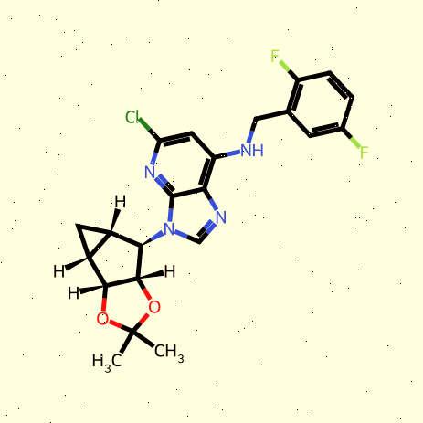 CC1(C)O[C@@H]2[C@@H]3C[C@@H]3[C@@H](n3cnc4c(NCc5cc(F)ccc5F)cc(Cl)nc43)[C@@H]2O1